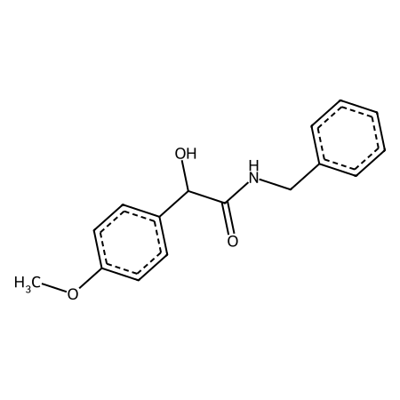 COc1ccc(C(O)C(=O)NCc2ccccc2)cc1